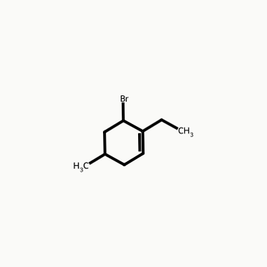 CCC1=CCC(C)CC1Br